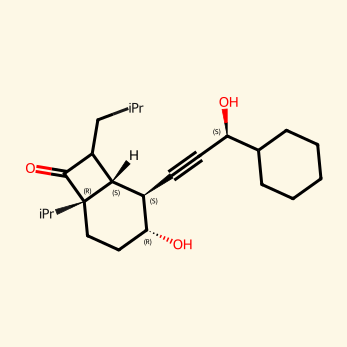 CC(C)CC1C(=O)[C@@]2(C(C)C)CC[C@@H](O)[C@H](C#C[C@@H](O)C3CCCCC3)[C@@H]12